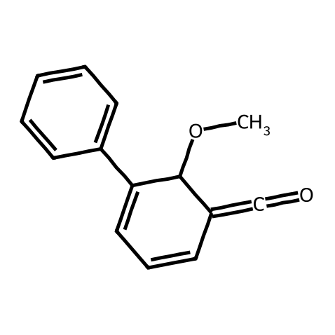 COC1C(=C=O)C=CC=C1c1ccccc1